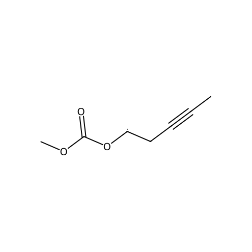 CC#CC[CH]OC(=O)OC